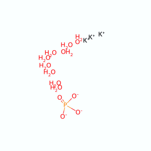 O.O.O.O.O.O.O.O.O.O=P([O-])([O-])[O-].[K+].[K+].[K+]